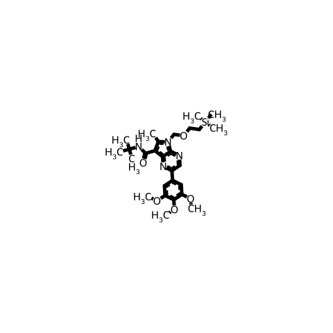 COc1cc(-c2cnc3c(n2)c(C(=O)NC(C)(C)C)c(C)n3COCC[Si](C)(C)C)cc(OC)c1OC